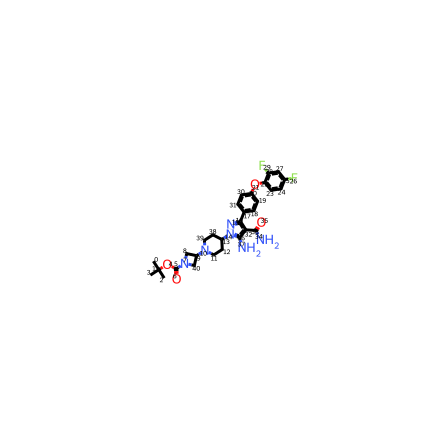 CC(C)(C)OC(=O)N1CC(N2CCC(n3nc(-c4ccc(Oc5ccc(F)cc5F)cc4)c(C(N)=O)c3N)CC2)C1